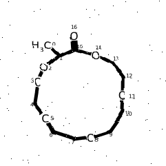 CC1OCCCCCCCCCCCOC1=O